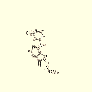 CON=Cc1cc2c(Nc3cccc(Cl)c3)ncnc2[nH]1